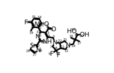 COC(=O)C1=C(CN2CC(F)(F)C3CN(CC(C)(C)C(O)O)CC32)NC(c2nccs2)=NC1c1cccc(F)c1C